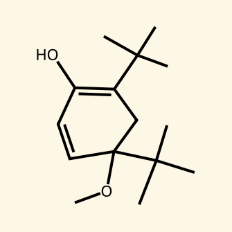 COC1(C(C)(C)C)C=CC(O)=C(C(C)(C)C)C1